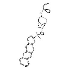 C=CC(=O)OC1CC2CC1CC2OC(C)(C)c1ccc2cc3cc4ccccc4cc3cc2c1